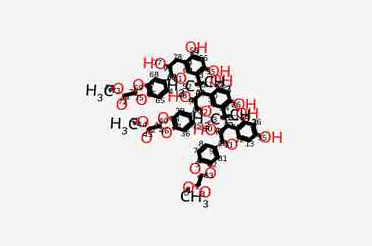 COC(=O)C1Oc2ccc([C@H]3Oc4cc(O)cc(O)c4[C@H](C(C)(C)c4c(O)cc(O)c5c4O[C@H](c4ccc6c(c4)OC(C(=O)OC)O6)[C@H](O)[C@H]5C(C)(C)c4c(O)cc(O)c5c4O[C@H](c4ccc6c(c4)OC(C(=O)OC)O6)[C@H](O)C5)[C@H]3O)cc2O1